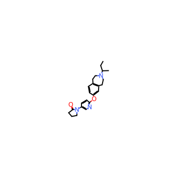 CCC(C)N1CCc2ccc(Oc3ccc(N4CCCC4=O)cn3)cc2CC1